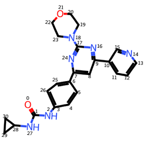 O=C(Nc1ccc(-c2cc(-c3cccnc3)nc(N3CCOCC3)n2)cc1)NC1CC1